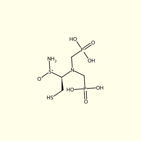 N[S+]([O-])[C@H](CS)N(CP(=O)(O)O)CP(=O)(O)O